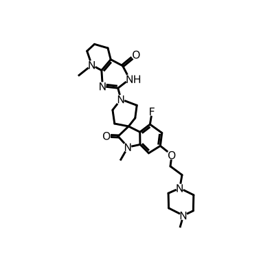 CN1CCN(CCOc2cc(F)c3c(c2)N(C)C(=O)C32CCN(c3nc4c(c(=O)[nH]3)CCCN4C)CC2)CC1